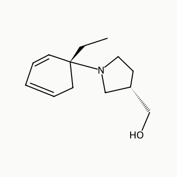 CC[C@]1(N2CC[C@H](CO)C2)C=CC=CC1